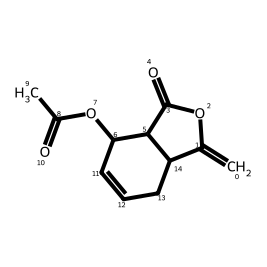 C=C1OC(=O)C2C(OC(C)=O)C=CCC12